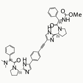 COC(=O)N[C@@H](C(=O)N1CCC[C@H]1c1nc(C#Cc2ccc(-c3cnc([C@@H]4CCCN4C(=O)[C@@H](c4ccccc4)N(C)C)[nH]3)cc2)c[nH]1)c1ccccc1